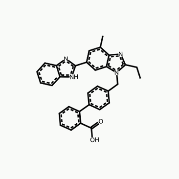 CCc1nc2c(C)cc(-c3nc4ccccc4[nH]3)cc2n1Cc1ccc(-c2ccccc2C(=O)O)cc1